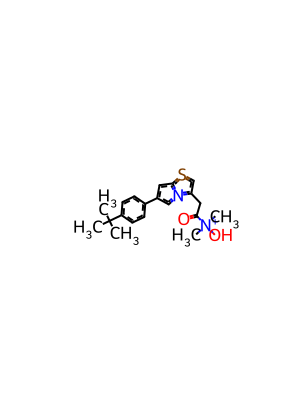 CC(C)(C)c1ccc(-c2cc3scc(CC(=O)[N+](C)(C)O)n3c2)cc1